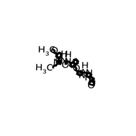 CCCCc1cc(NC(=O)Nc2ccc(OCc3ccnc(Nc4cnc(CN5CCOCC5)cn4)c3)c3ccccc23)n(-c2cccc(COC)c2)n1